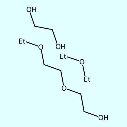 CCOCC.CCOCCOCCO.OCCO